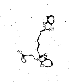 O=C(O)CC[n+]1c(C=CC=CC=C2Nc3ccccc3S2)sc2c1OCC=C2